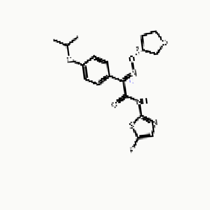 CC(C)Oc1ccc(/C(=N\O[C@@H]2CCOC2)C(=O)Nc2ncc(F)s2)cc1